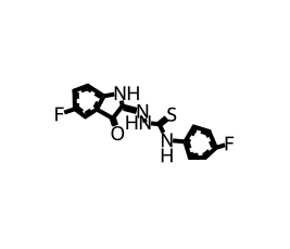 O=C1C(=NNC(=S)Nc2ccc(F)cc2)Nc2ccc(F)cc21